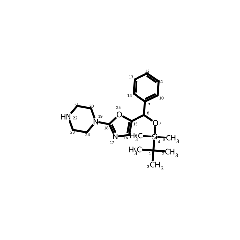 CC(C)(C)[Si](C)(C)OC(c1ccccc1)c1cnc(N2CCNCC2)o1